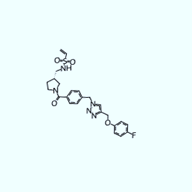 C=CS(=O)(=O)NC[C@H]1CCN(C(=O)c2ccc(Cn3cc(COc4ccc(F)cc4)nn3)cc2)C1